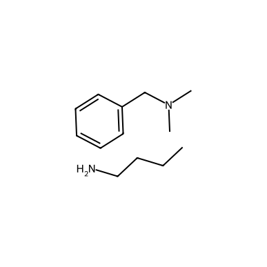 CCCCN.CN(C)Cc1ccccc1